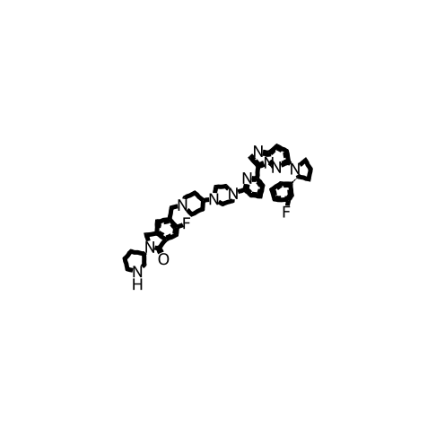 O=C1c2cc(F)c(CN3CCC(N4CCN(c5cccc(-c6cnc7ccc(N8CCC[C@@H]8c8cccc(F)c8)nn67)n5)CC4)CC3)cc2CN1C1CCCNC1